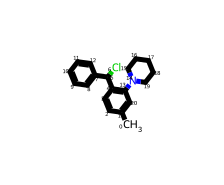 Cc1ccc(C(Cl)c2ccccc2)c(N2CCCCC2)c1